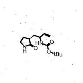 C=CC(C[C@@H]1CCNC1=O)NC(=O)OC(C)(C)C